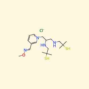 CON=Cc1ccc[n+](CC(CNCC(C)(C)S)NCC(C)(C)S)c1.[Cl-]